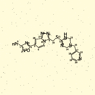 CCCc1noc(-c2ccn3c(CSC4=NCN(Cc5cccnc5)CN4)nnc3c2)n1